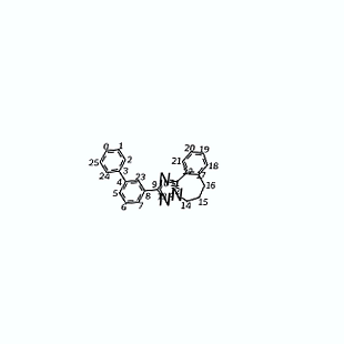 c1ccc(-c2cccc(-c3nc4n(n3)CCCc3ccccc3-4)c2)cc1